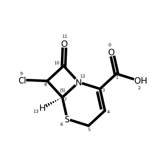 O=C(O)C1=CCS[C@H]2C(Cl)C(=O)N12